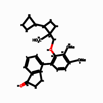 COc1ccc(-c2cccc3c2CCC3=O)c(OCC2(C(=O)O)CCC2C2CCC2)c1OC